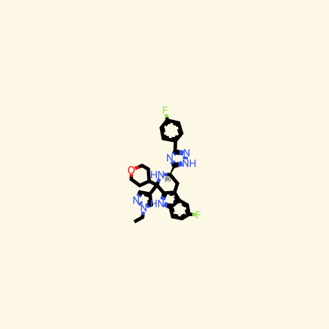 CCn1cc(C2(C3CCOCC3)N[C@@H](c3nc(-c4ccc(F)cc4)n[nH]3)Cc3c2[nH]c2ccc(F)cc32)cn1